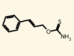 NC(=S)OC/C=C/c1ccccc1